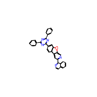 c1ccc(-c2nc(-c3ccccc3)nc(-c3ccc4c(c3)oc3cnc(-c5nccc6ccccc56)cc34)n2)cc1